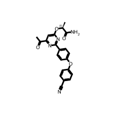 CC(=O)c1cc(O[C@@H](C)C(N)=O)nc(-c2ccc(Oc3ccc(C#N)cc3)cc2)n1